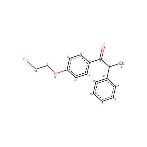 CCC(C(=O)c1ccc(OCCI)cc1)c1ccccc1